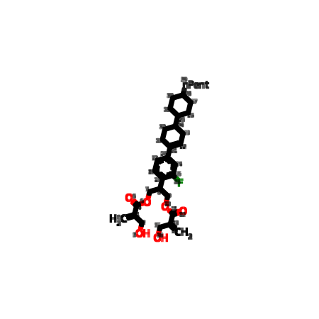 C=C(CO)C(=O)OCC(COC(=O)C(=C)CO)c1ccc(C2=CCC(C3CCC(CCCCC)CC3)CC2)cc1F